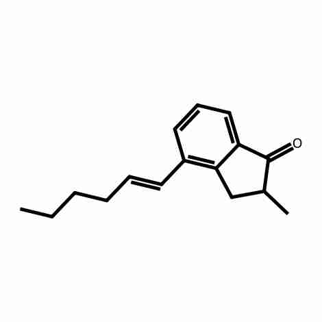 CCCCC=Cc1cccc2c1CC(C)C2=O